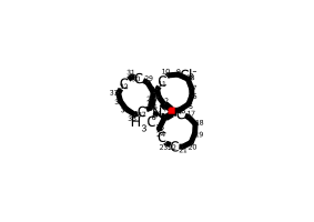 C[N+](C1=CCCCCCCCCCC1)(C1=CCCCCCCCCCC1)C1=CCCCCCCCCCC1.[Cl-]